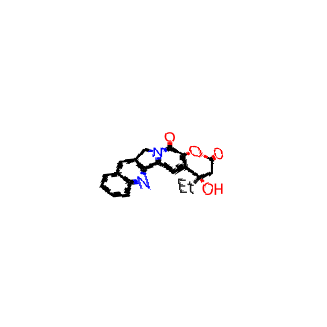 CCC1(O)CC(=O)Oc2c1cc1n(c2=O)Cc2cc3ccccc3nc2-1